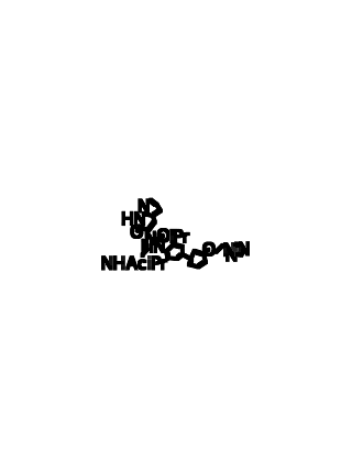 CC(=O)NCCCN(C(=O)Nc1c(C(C)C)cc(-c2cccc(OCCn3cncn3)c2)cc1C(C)C)c1cc2cccnc2[nH]c1=O